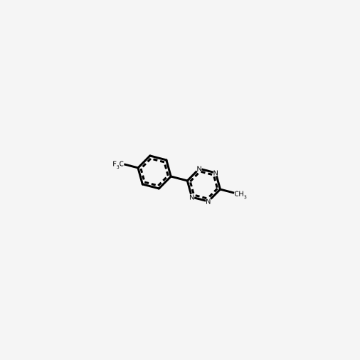 Cc1nnc(-c2ccc(C(F)(F)F)cc2)nn1